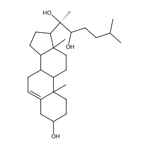 CC(C)CCC(O)[C@](C)(O)C1CCC2C3CC=C4CC(O)CCC4(C)C3CCC21C